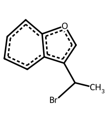 CC(Br)c1coc2ccccc12